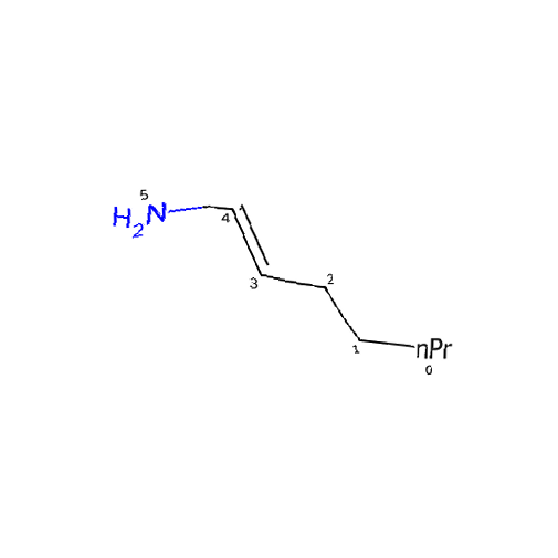 CCCCC/C=[C]/N